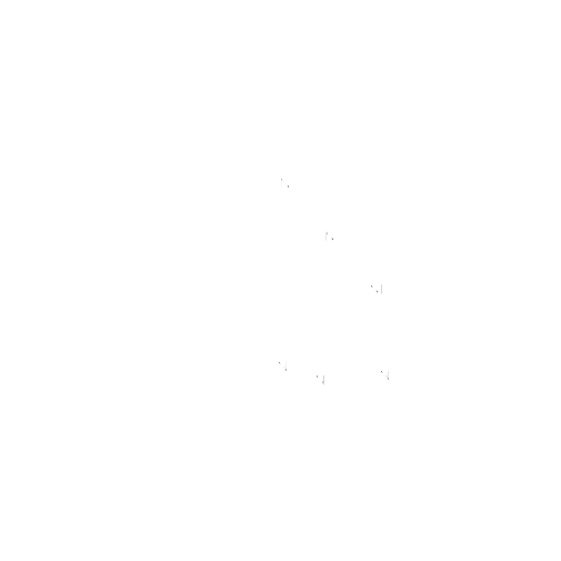 c1ccc(-c2cc(Nc3cccc(N4CCCC4)n3)c3nccn3n2)cc1